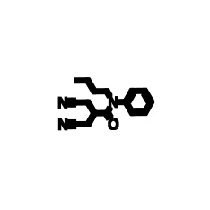 CCCCN(C(=O)C(CC#N)CC#N)c1ccccc1